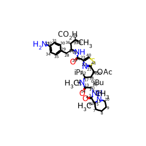 CC[C@H](C)[C@H](NC(=O)[C@]1(C)CCCCN1C)C(=O)N(C)C(C[C@@H](OC(C)=O)c1nc(C(=O)N[C@@H](Cc2ccc(N)cc2)C[C@H](C)C(=O)O)cs1)C(C)C